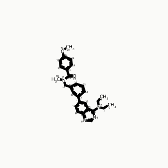 CCN(CC)c1ncnc2ccc(-c3cccc(CN(C)C(=O)c4ccc(OC)cc4)c3)cc12